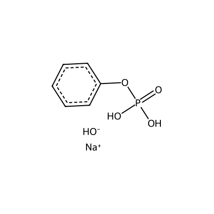 O=P(O)(O)Oc1ccccc1.[Na+].[OH-]